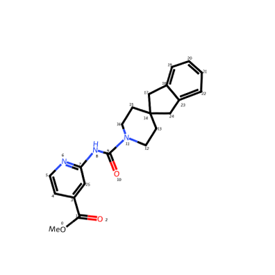 COC(=O)c1ccnc(NC(=O)N2CCC3(CC2)Cc2ccccc2C3)c1